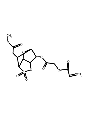 C=CC(=O)OCC(=O)OC1C2OC3C1OS(=O)(=O)C3C2CC(=O)OC